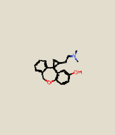 CN(C)CCC1CC12c1ccccc1COc1ccc(O)cc12